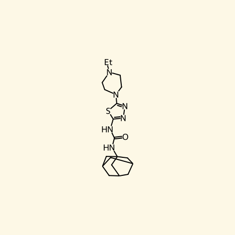 CCN1CCN(c2nnc(NC(=O)NC34CC5CC(CC(C5)C3)C4)s2)CC1